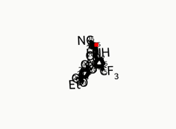 CCS(=O)(=O)c1ccc(S(=O)(=O)Nc2cc(C(F)(F)F)ccc2C(=O)NC23CC(C#N)(C2)C3)cc1